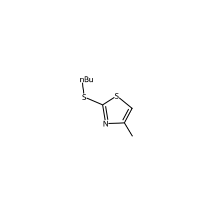 CCCCSc1nc(C)cs1